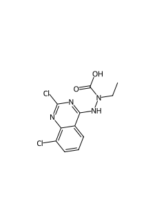 CCN(Nc1nc(Cl)nc2c(Cl)cccc12)C(=O)O